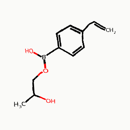 C=Cc1ccc(B(O)OCC(C)O)cc1